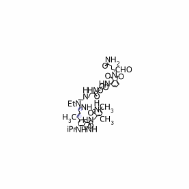 CCN(CCNCCC(=O)NOOONc1cccc2c1C(=O)N(C(C=O)CCC(N)=O)C2=O)/C(N)=C/C=C(\C)c1cc(NC(C)C)c(C=N)c(C(=O)NCc2c(C)cc(C)[nH]c2=O)c1